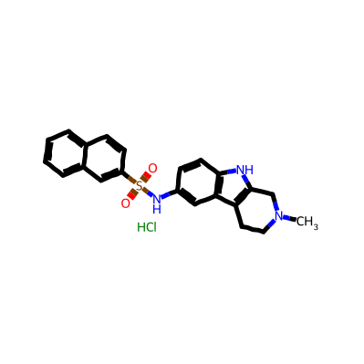 CN1CCc2c([nH]c3ccc(NS(=O)(=O)c4ccc5ccccc5c4)cc23)C1.Cl